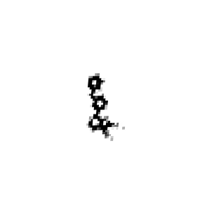 Nc1oc2c(-c3cccc(Cc4ccccc4)c3)nccc2c1N